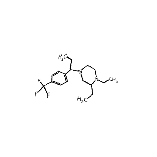 CCC1CN(C(CC)c2ccc(C(F)(F)F)cc2)CCN1CC